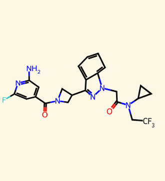 Nc1cc(C(=O)N2CC(c3nn(CC(=O)N(CC(F)(F)F)C4CC4)c4ccccc34)C2)cc(F)n1